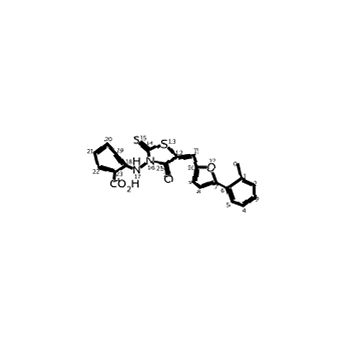 Cc1ccccc1-c1ccc(/C=C2/SC(=S)N(Nc3ccccc3C(=O)O)C2=O)o1